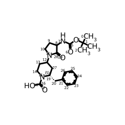 CC(C)(C)OC(=O)NC1CCN(C2CCN(C(=O)O)[C@@H](Cc3ccccc3)C2)C1=O